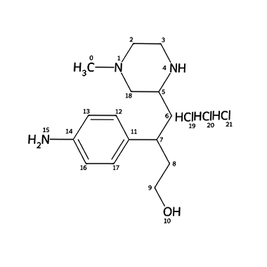 CN1CCNC(CC(CCO)c2ccc(N)cc2)C1.Cl.Cl.Cl